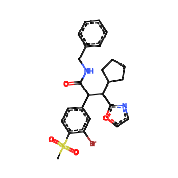 CS(=O)(=O)c1ccc(C(C(=O)NCc2ccccc2)C(c2ncco2)C2CCCC2)cc1Br